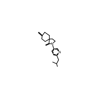 C=C1CCC2(CC1)CCN(c1ccc(CC(C)C)nc1)C2=C